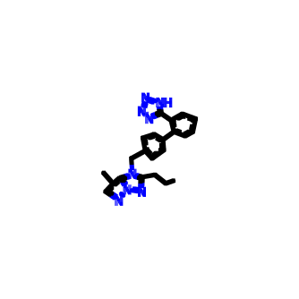 CCCc1nn2ncc(C)c2n1Cc1ccc(-c2ccccc2-c2nnn[nH]2)cc1